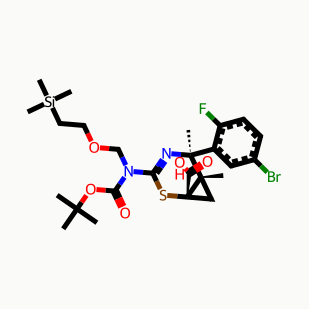 CC(C)(C)OC(=O)N(COCC[Si](C)(C)C)C1=N[C@@](C)(c2cc(Br)ccc2F)[C@]2(C)C[C@]2(C(=O)O)S1